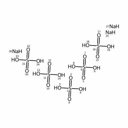 O=S(=O)(O)O.O=S(=O)(O)O.O=S(=O)(O)O.O=S(=O)(O)O.O=S(=O)(O)O.[NaH].[NaH].[NaH]